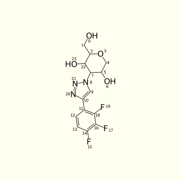 OCC1OCC(O)C(n2cc(-c3ccc(F)c(F)c3F)nn2)C1O